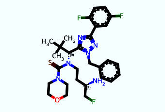 CC(C)(C)[C@H](c1nc(-c2cc(F)ccc2F)nn1Cc1ccccc1)N(CC[C@@H](N)CF)C(=S)N1CCOCC1